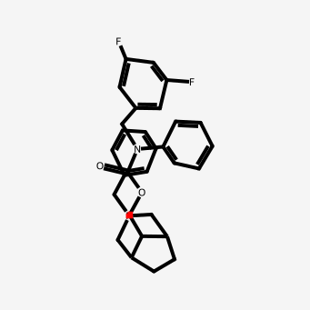 O=C(OCC1C2CCC1CN(Cc1ccccc1)C2)N(Cc1cc(F)cc(F)c1)c1ccccc1